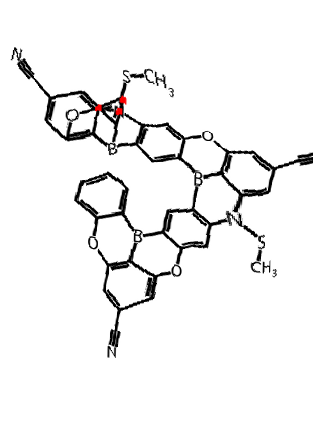 CSN1c2cc3c(cc2B2c4cc5c(cc4Oc4cc(C#N)cc1c42)N(SC)c1cc(C#N)cc2c1B5c1ccccc1O2)B1c2ccccc2Oc2cc(C#N)cc(c21)O3